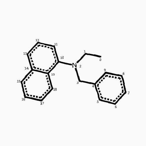 CCN(Cc1ccccc1)c1cccc2ccccc12